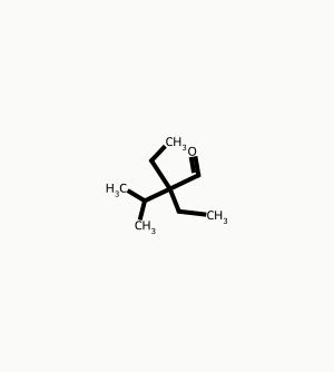 CCC(C=O)(CC)C(C)C